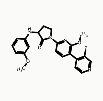 COc1cccc(NC2CCN(c3ccc(-c4ccncc4F)c(OC)n3)C2=O)c1